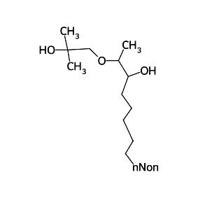 CCCCCCCCCCCCCCC(O)C(C)OCC(C)(C)O